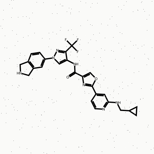 O=C(Nc1cn(-c2ccc3c(c2)CNC3)nc1C(F)(F)F)c1coc(-c2ccnc(NCC3CC3)c2)n1